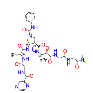 CCC[C@H](NC(=O)[C@@H]1CN(C(=O)Nc2ccccc2)C[C@@H]1NC(=O)[C@@H](NC(=O)CNC(=O)c1cnccn1)C(C)C)C(=O)C(=O)NCC(=O)NCC(=O)N(C)C